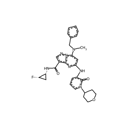 CN(Cc1ccccc1)c1cc(Nc2cccn(C3CCOCC3)c2=O)nc2c(C(=O)N[C@@H]3C[C@@H]3F)cnn12